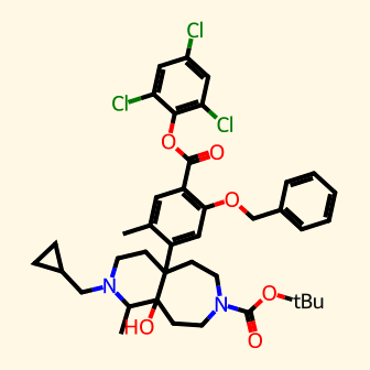 Cc1cc(C(=O)Oc2c(Cl)cc(Cl)cc2Cl)c(OCc2ccccc2)cc1C12CCN(C(=O)OC(C)(C)C)CCC1(O)C(C)N(CC1CC1)CC2